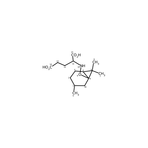 CC1CCC2C(C)(C)C2(ONC(CCC(=O)O)C(=O)O)C1